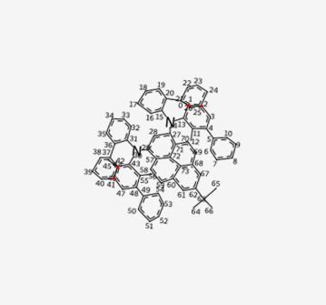 Cc1ccc(-c2ccccc2)c(C)c1N(c1ccccc1-c1ccccc1)c1cc(N(c2ccccc2-c2ccccc2)c2c(C)ccc(-c3ccccc3)c2C)c2ccc3cc(C(C)(C)C)cc4ccc1c2c43